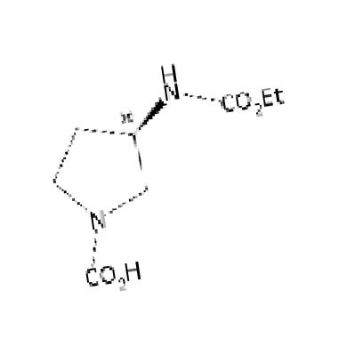 CCOC(=O)N[C@@H]1CCN(C(=O)O)C1